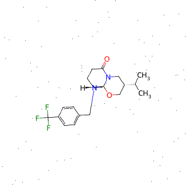 CC(C)[C@@H]1CO[C@@]23CCN(Cc4ccc(C(F)(F)F)cc4)C[C@@H]2CCC(=O)N3C1